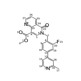 COC(=O)c1cn(Cc2ccc(-c3ccnc(C)c3)cc2F)c(=O)c2cccnc12